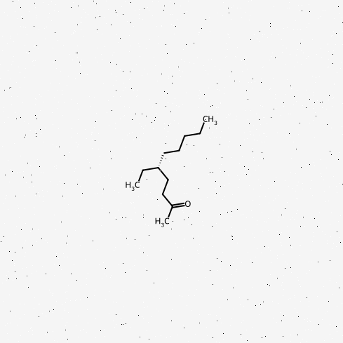 CCCCC[C@@H](CC)CCC(C)=O